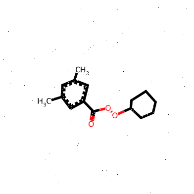 Cc1cc(C)cc(C(=O)OO[C]2CCCCC2)c1